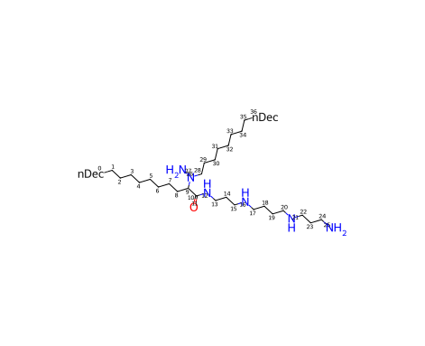 CCCCCCCCCCCCCCCCCCC(C(=O)NCCCNCCCCNCCCN)N(N)CCCCCCCCCCCCCCCCCC